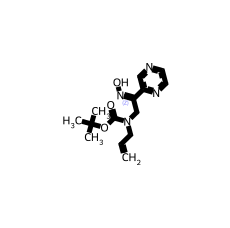 C=CCN(C/C(=N/O)c1cnccn1)C(=O)OC(C)(C)C